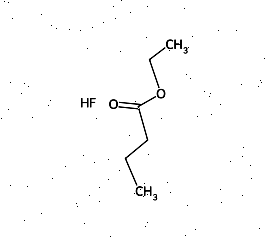 CCCC(=O)OCC.F